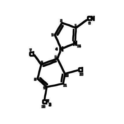 N#Cc1ccn(-c2c(Cl)cc(C(F)(F)F)cc2Cl)n1